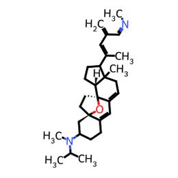 C=C(/C=N\C)/C=C(\C)C1CC[C@@H]2C1(C)CC=C1C=C3CCC(N(C)C(C)C)C[C@]34CC[C@@]12O4